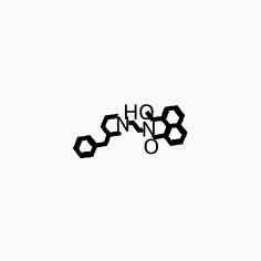 O=C1c2cccc3cccc(c23)C(O)N1CCN1CCCC(Cc2ccccc2)C1